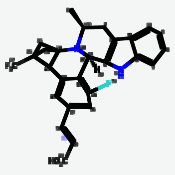 C[C@H]1Cc2c([nH]c3ccccc23)[C@H]2c3c(F)cc(/C=C/C(=O)O)cc3C3C4(CC3(C(F)(F)F)C4)N21